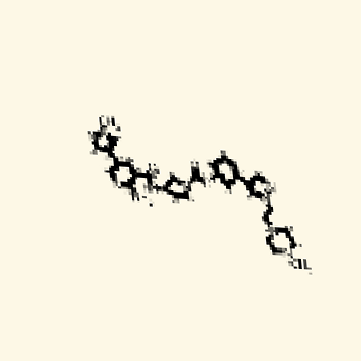 CN1CCN(CCn2cc(-c3cccc(OC(=O)N4CC[C@@H](NC(=O)c5cc(-c6cnn(C)c6)cnc5N)C4)c3)cn2)CC1